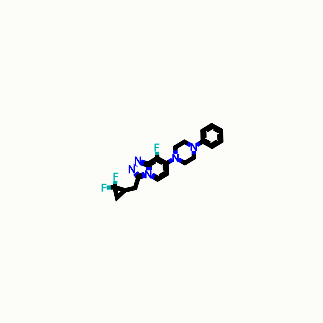 Fc1c(N2CCN(c3ccccc3)CC2)ccn2c(CC3CC3(F)F)nnc12